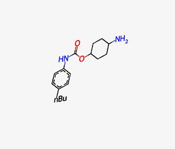 CCCCc1ccc(NC(=O)OC2CCC(N)CC2)cc1